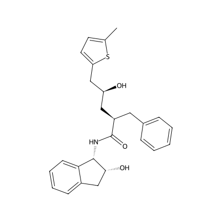 Cc1ccc(C[C@@H](O)C[C@@H](Cc2ccccc2)C(=O)N[C@H]2c3ccccc3C[C@H]2O)s1